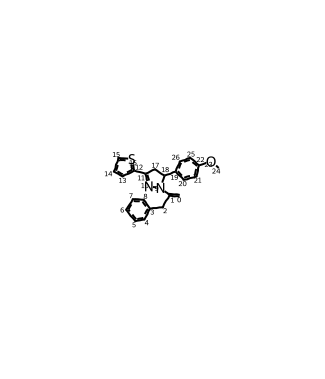 C=C(Cc1ccccc1)N1N=C(c2cccs2)CC1c1ccc(OC)cc1